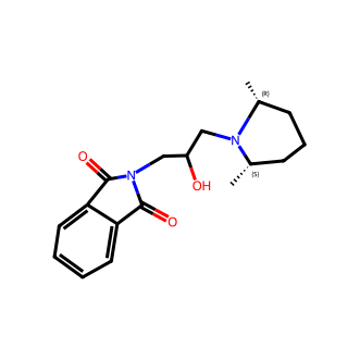 C[C@@H]1CCC[C@H](C)N1CC(O)CN1C(=O)c2ccccc2C1=O